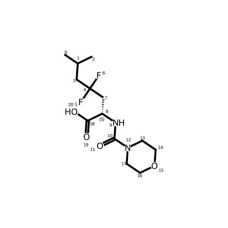 CC(C)CC(F)(F)C[C@H](NC(=O)N1CCOCC1)C(=O)O